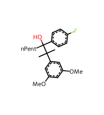 CCCCCC(O)(c1ccc(F)cc1)C(C)(C)c1cc(OC)cc(OC)c1